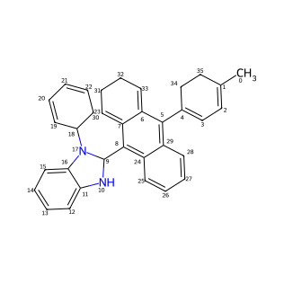 CC1=CC=C(c2c3c(c(C4Nc5ccccc5N4C4C=CC=CC4)c4ccccc24)=CCCC=3)CC1